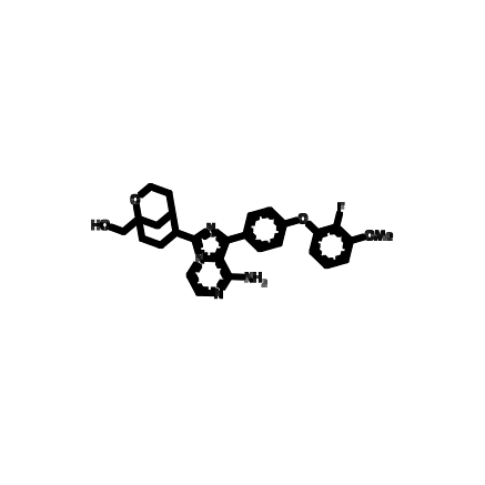 COc1cccc(Oc2ccc(-c3nc(C4CCC5(CO)CC4CCO5)n4ccnc(N)c34)cc2)c1F